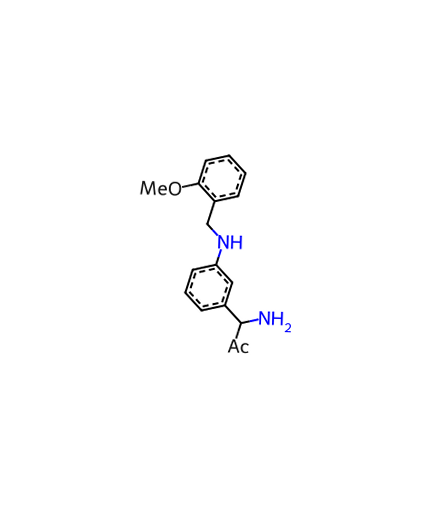 COc1ccccc1CNc1cccc(C(N)C(C)=O)c1